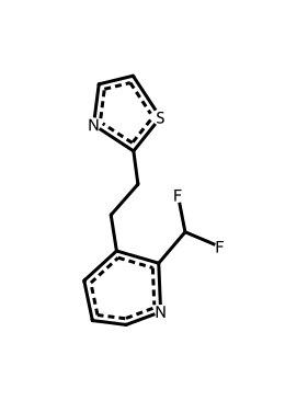 FC(F)c1ncccc1CCc1nccs1